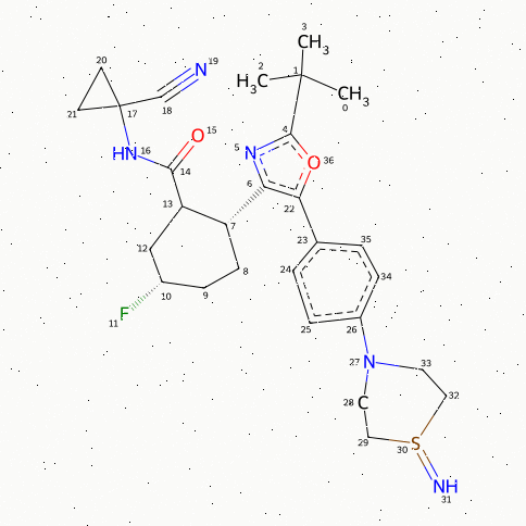 CC(C)(C)c1nc([C@@H]2CC[C@H](F)CC2C(=O)NC2(C#N)CC2)c(-c2ccc(N3CCS(=N)CC3)cc2)o1